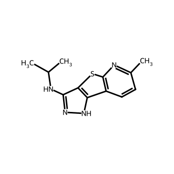 Cc1ccc2c(n1)sc1c(NC(C)C)n[nH]c12